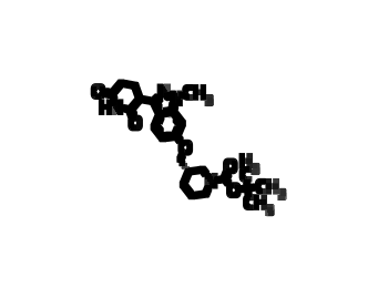 Cn1nc(C2CCC(=O)NC2=O)c2ccc(OC[C@H]3CCCN(C(=O)OC(C)(C)C)C3)cc21